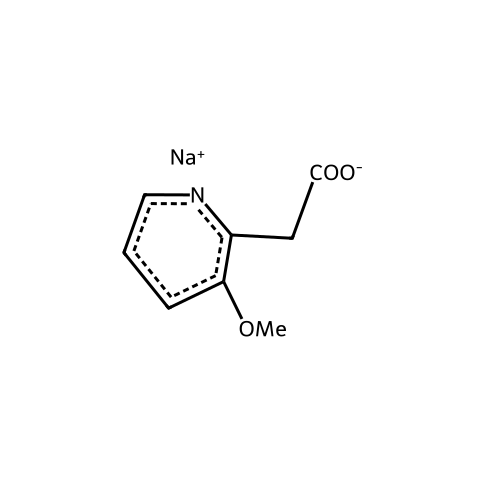 COc1cccnc1CC(=O)[O-].[Na+]